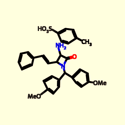 COc1ccc(C(c2ccc(OC)cc2)N2C(=O)C(N)C2C=Cc2ccccc2)cc1.Cc1ccc(S(=O)(=O)O)cc1